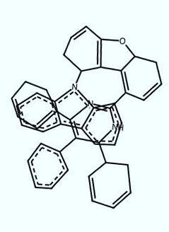 C1=CCCC(C2=C(c3ccccc3)C(C3C=CC=CC3)NC(C3=C4C5=C(C=CCC5n5c6ccccc6c6ccccc65)OC4CC=C3)=N2)=C1